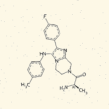 Cc1ccc(Nc2c(-c3ccc(F)cc3)nc3n2CCN(C(=O)[C@@H](C)N)C3)cc1